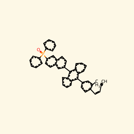 C#C/C=C\c1ccc(-c2c3ccccc3c(-c3ccc4cc(P(=O)(c5ccccc5)c5ccccc5)ccc4c3)c3ccccc23)cc1C